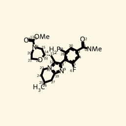 CNC(=O)c1cc(F)c(-c2nc3n(c2C[C@H]2CN(C(=O)OC)CCO2)CCC(C)C3)c(P)c1